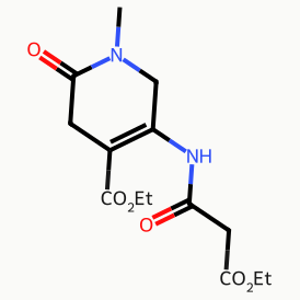 CCOC(=O)CC(=O)NC1=C(C(=O)OCC)CC(=O)N(C)C1